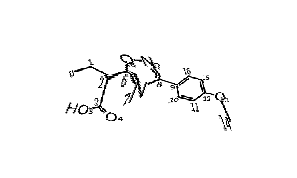 CCC(C(=O)O)c1nc(-c2ccc(OC)cc2)no1